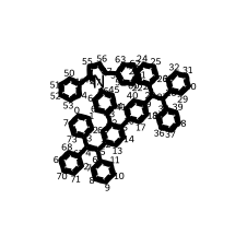 c1ccc(C(=C(c2ccccc2)c2ccc(-c3ccc(C(c4ccccc4)C(c4ccccc4)c4ccccc4)cc3)c(-c3ccc(-n4c(-c5ccccc5)ccc4-c4ccccc4)cc3)c2)c2ccccc2)cc1